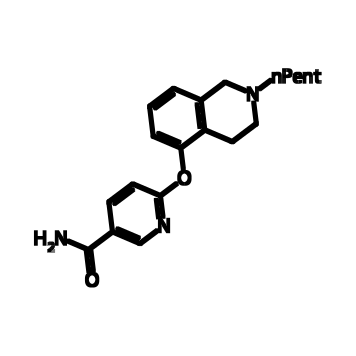 CCCCCN1CCc2c(cccc2Oc2ccc(C(N)=O)cn2)C1